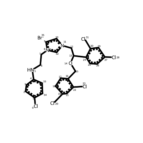 Clc1ccc(NCC[n+]2ccn(CC(OCc3ccc(Cl)cc3Cl)c3ccc(Cl)cc3Cl)c2)cc1.[Br-]